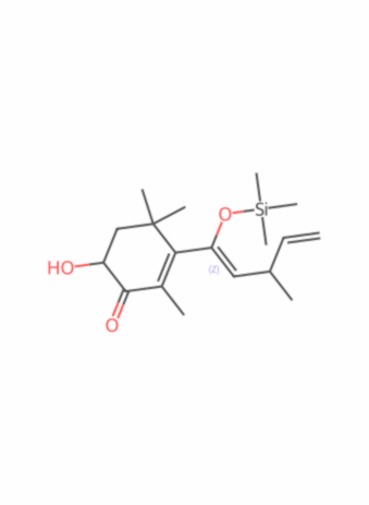 C=CC(C)/C=C(\O[Si](C)(C)C)C1=C(C)C(=O)C(O)CC1(C)C